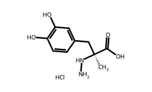 C[C@@](Cc1ccc(O)c(O)c1)(NN)C(=O)O.Cl